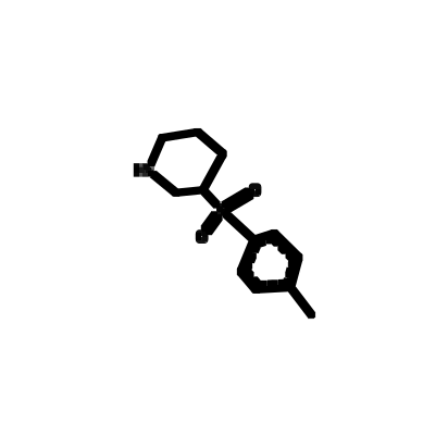 Cc1ccc(S(=O)(=O)C2CCCNC2)cc1